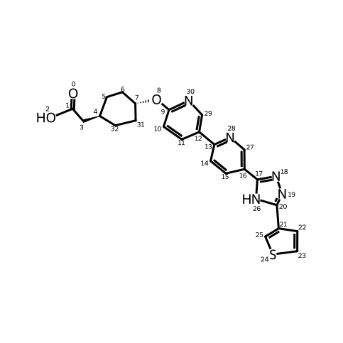 O=C(O)C[C@H]1CC[C@H](Oc2ccc(-c3ccc(-c4nnc(-c5ccsc5)[nH]4)cn3)cn2)CC1